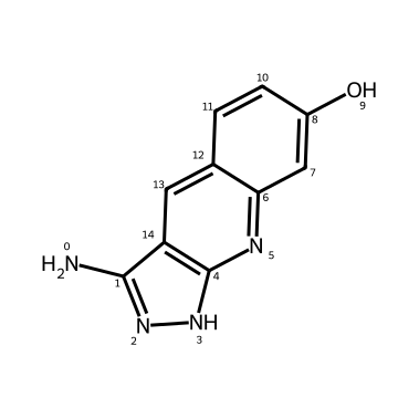 Nc1n[nH]c2nc3cc(O)ccc3cc12